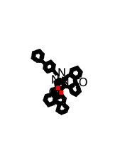 c1ccc(-c2ccc(-c3nc(-c4ccc5ccccc5c4)nc(-c4cccc5oc6cccc(-c7cccc8oc9cc%10ccccc%10cc9c78)c6c45)n3)cc2)cc1